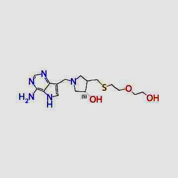 Nc1ncnc2c(CN3CC(CSCCOCCO)[C@H](O)C3)c[nH]c12